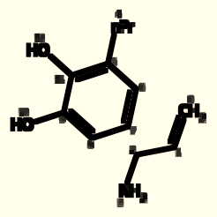 C=CCN.CCCc1cccc(O)c1O